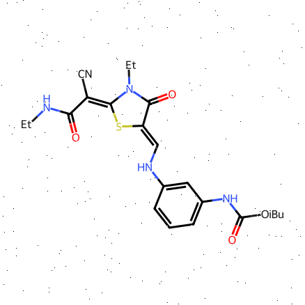 CCNC(=O)C(C#N)=c1sc(=CNc2cccc(NC(=O)OCC(C)C)c2)c(=O)n1CC